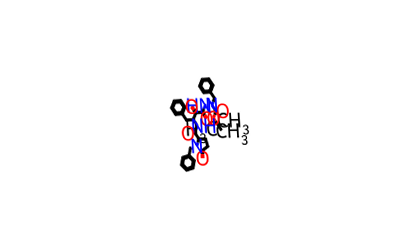 CC(C)(C)OC(=O)N(Cc1ccccc1)NC(=O)C(=O)C(Cc1ccccc1)NC(=O)C1CCC(=O)N1Cc1ccccc1